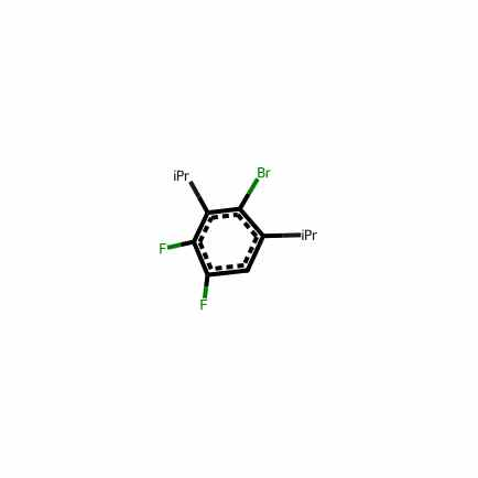 CC(C)c1cc(F)c(F)c(C(C)C)c1Br